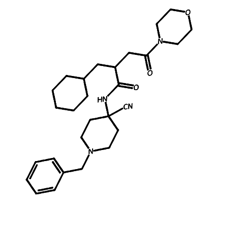 N#CC1(NC(=O)C(CC(=O)N2CCOCC2)CC2CCCCC2)CCN(Cc2ccccc2)CC1